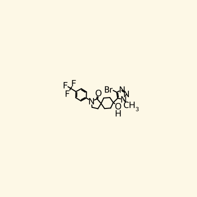 Cn1nnc(Br)c1C1(O)CCC2(CCN(c3ccc(C(F)(F)F)cc3)C2=O)CC1